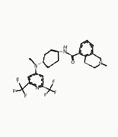 CN1CCc2c(cccc2C(=O)N[C@H]2CC[C@@H](N(C)c3cc(C(F)(F)F)nc(C(F)(F)F)c3)CC2)C1